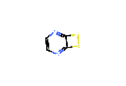 c1cnc2ssc2n1